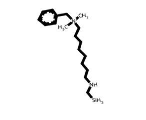 C[N+](C)(CCCCCCCCNC[SiH3])Cc1ccccc1